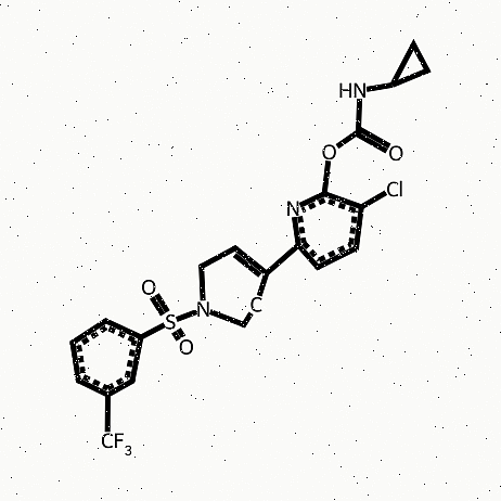 O=C(NC1CC1)Oc1nc(C2=CCN(S(=O)(=O)c3cccc(C(F)(F)F)c3)CC2)ccc1Cl